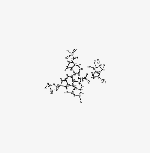 Cn1nc(NS(C)(=O)=O)c2cccc(-c3cc4sc(NCC5(O)CC5)nc4nc3[C@H](Cc3cc(F)cc(F)c3)NC(=O)Cn3nc(C(F)(F)F)c4c3C(F)(F)[C@@H]3CC43)c21